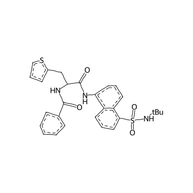 CC(C)(C)NS(=O)(=O)c1cccc2c(NC(=O)C(Cc3cccs3)NC(=O)c3ccccc3)cccc12